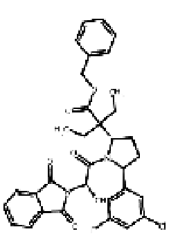 CCC(CC)(C(=O)OCc1ccccc1)[C@H]1CC[C@@H](c2cc(F)cc(Cl)c2)N1C(=O)[C@@H](C)N1C(=O)c2ccccc2C1=O